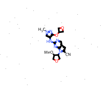 COC1COCC1n1c(C#N)cc2cnc(Nc3cn(C)nc3OC3COC3)nc21